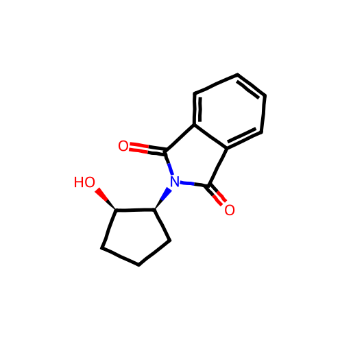 O=C1c2ccccc2C(=O)N1[C@H]1CCC[C@H]1O